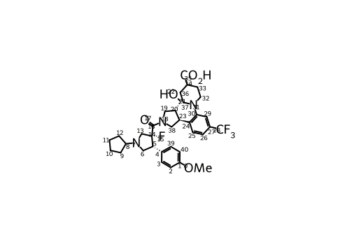 COc1ccc([C@@H]2CN(C3CCCC3)C[C@@]2(F)C(=O)N2C[C@H](CO)[C@@H](c3ccc(C(F)(F)F)cc3N3CCC(C(=O)O)CC3)C2)cc1